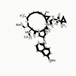 COC[C@@H]1C[C@H](C)CCC=C[C@@H]2C[C@@]2(C(=O)NS(=O)(=O)C2(C)CC2)NC(=O)[C@@H]2C[C@@H](Oc3nccc4cc(OC)ccc34)CN2C(=O)[C@H]1NC(=O)O